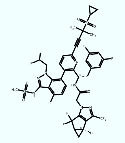 CC(C)(C#Cc1ccc(-c2ccc(Cl)c3c(NS(C)(=O)=O)nn(CC(F)F)c23)c([C@H](Cc2cc(F)cc(F)c2)NC(=O)Cn2nc(C(F)(F)F)c3c2C(F)(F)C2C[C@H]32)n1)S(=O)(=O)C1CC1